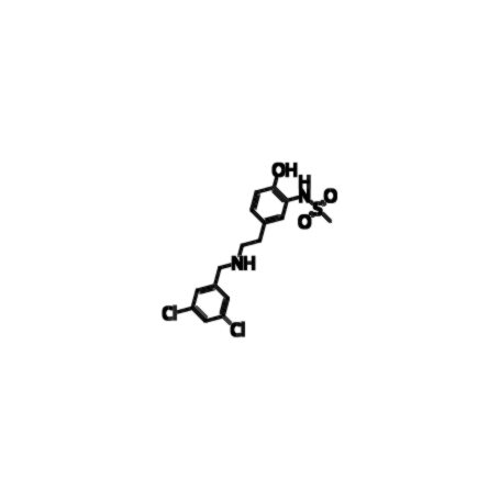 CS(=O)(=O)Nc1cc(CCNCc2cc(Cl)cc(Cl)c2)ccc1O